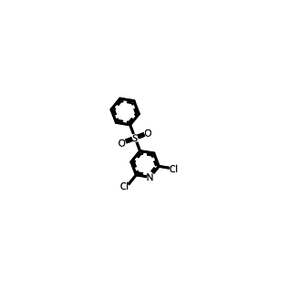 O=S(=O)(c1ccccc1)c1cc(Cl)nc(Cl)c1